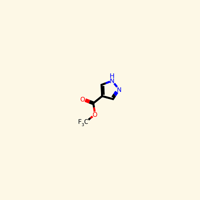 O=C(OC(F)(F)F)c1cn[nH]c1